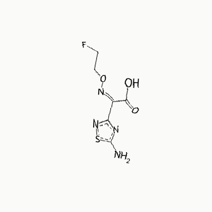 Nc1nc(C(=NOCCF)C(=O)O)ns1